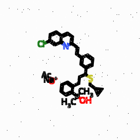 CC(=O)[O-].CC(C)(O)c1ccccc1CCC(SCC1CC1)c1cccc(C=Cc2ccc3ccc(Cl)cc3n2)c1.[Na+]